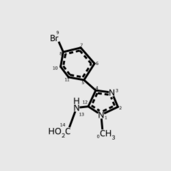 Cn1cnc(-c2ccc(Br)cc2)c1NC(=O)O